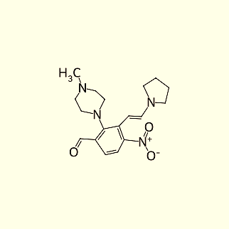 CN1CCN(c2c(C=O)ccc([N+](=O)[O-])c2C=CN2CCCC2)CC1